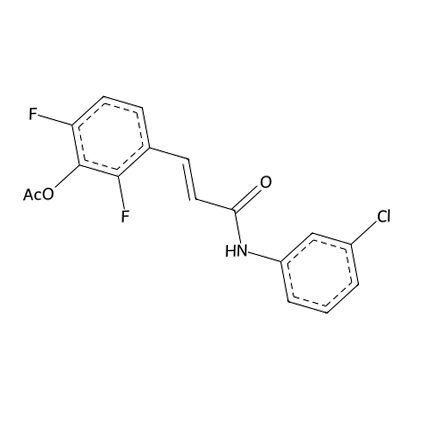 CC(=O)Oc1c(F)ccc(C=CC(=O)Nc2cccc(Cl)c2)c1F